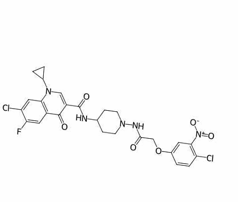 O=C(COc1ccc(Cl)c([N+](=O)[O-])c1)NN1CCC(NC(=O)c2cn(C3CC3)c3cc(Cl)c(F)cc3c2=O)CC1